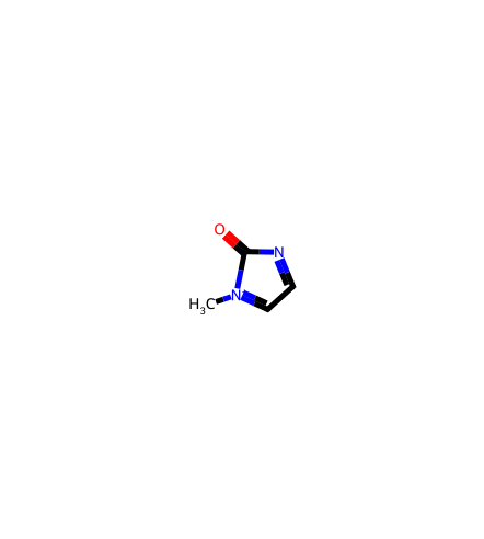 C[N+]1=CC=NC1=O